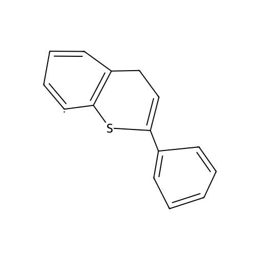 [c]1cccc2c1SC(c1ccccc1)=CC2